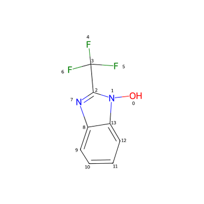 On1c(C(F)(F)F)nc2ccccc21